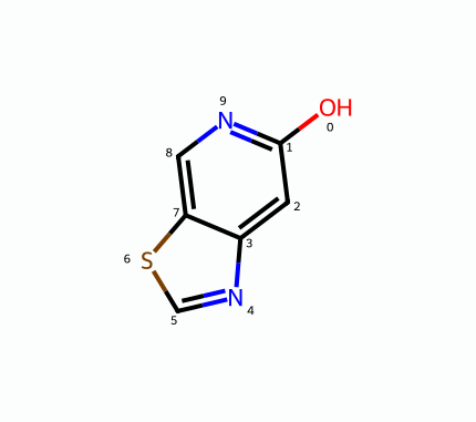 Oc1cc2ncsc2cn1